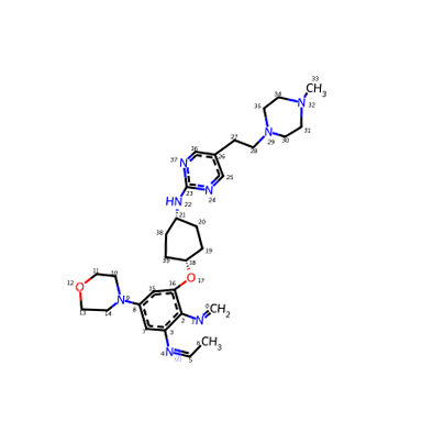 C=Nc1c(/N=C\C)cc(N2CCOCC2)cc1O[C@H]1CC[C@@H](Nc2ncc(CCN3CCN(C)CC3)cn2)CC1